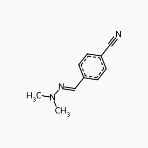 CN(C)N=Cc1ccc(C#N)cc1